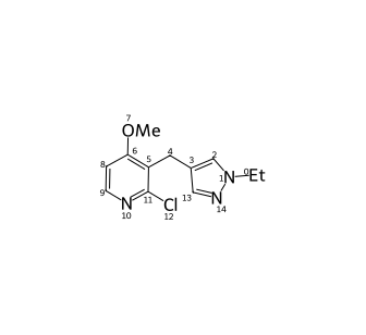 CCn1cc(Cc2c(OC)ccnc2Cl)cn1